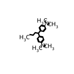 CCCCC(c1ccc(N(C)C)cc1)c1ccc(N(C)C)cc1